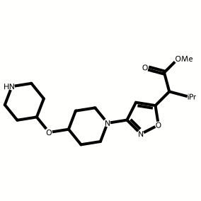 COC(=O)C(c1cc(N2CCC(OC3CCNCC3)CC2)no1)C(C)C